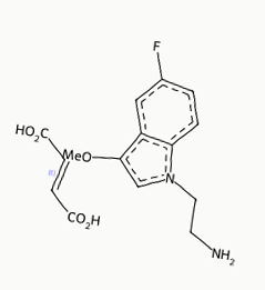 COc1cn(CCN)c2ccc(F)cc12.O=C(O)/C=C/C(=O)O